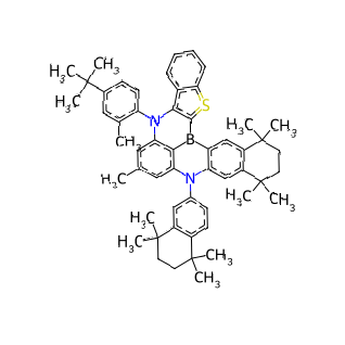 Cc1cc2c3c(c1)N(c1ccc(C(C)(C)C)cc1C)c1c(sc4ccccc14)B3c1cc3c(cc1N2c1ccc2c(c1)C(C)(C)CCC2(C)C)C(C)(C)CCC3(C)C